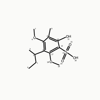 CCC(C)c1c(OC)c(C)c(O)c(S(=O)(=O)O)c1OC